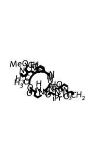 C=CC(=O)N1CC[C@](O)(C(=O)N(C)[C@H](C(=O)N[C@H]2Cn3cnc(n3)-c3ccc4c(c3)c(c(-c3cccnc3[C@H](C)OC)n4CC)CC(C)(C)COC(=O)[C@@H]3CCCN(N3)C2=O)C(C)C)C1